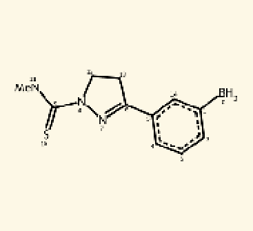 Bc1cccc(C2=NN(C(=S)NC)CC2)c1